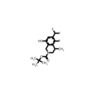 CC1CN(C(=O)OC(C)(C)C)Cc2c(O)cc(C(F)F)c(F)c21